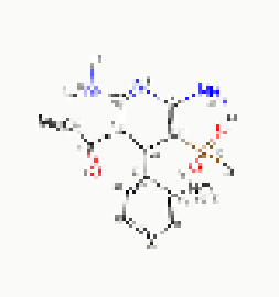 COC(=O)C1C(N(C)C)=NC(N)=C(S(C)(=O)=O)C1c1ccccc1[N+](=O)[O-]